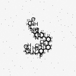 COc1cc(-c2cccc(-c3cccc(-c4ccn5c(=O)c(CNC[C@H]6CCC(=O)N6)cnc5c4)c3Cl)c2Cl)cc(F)c1CNC[C@@H]1CCC(=O)N1